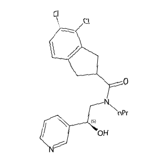 CCCN(C[C@@H](O)c1cccnc1)C(=O)C1Cc2ccc(Cl)c(Cl)c2C1